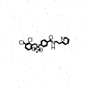 CS(=O)(=O)N(Cc1cccc(Cl)c1Cl)c1ccc(C(=O)NCCc2ccccn2)cc1